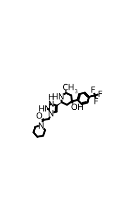 C[C@H]1CC(O)(c2ccc(C(F)(F)F)cc2)C[C@@H](C2=CN(CC(=O)N3CCCCC3)NN2)N1